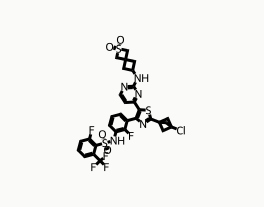 O=S1(=O)CC2(CC(Nc3nccc(-c4sc(C56CC(Cl)(C5)C6)nc4-c4cccc(NS(=O)(=O)c5c(F)cccc5C(F)(F)F)c4F)n3)C2)C1